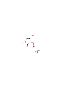 COC[C@@H]1C[C@H](N)C(=O)N1CC(=O)OC(C)(C)C